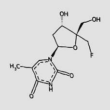 Cc1cn([C@H]2C[C@H](O)[C@](CO)(CF)O2)c(=O)[nH]c1=O